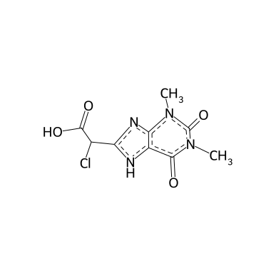 Cn1c(=O)c2[nH]c(C(Cl)C(=O)O)nc2n(C)c1=O